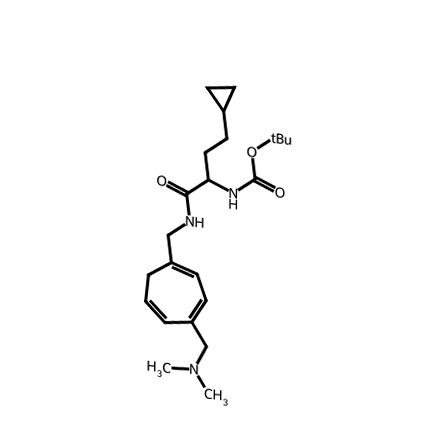 CN(C)CC1=CC=C(CNC(=O)C(CCC2CC2)NC(=O)OC(C)(C)C)CC=C1